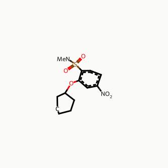 CNS(=O)(=O)c1ccc([N+](=O)[O-])cc1OC1CCCCC1